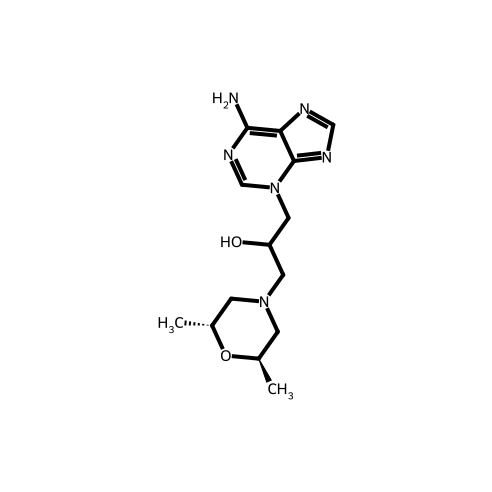 C[C@@H]1CN(CC(O)Cn2cnc(N)c3ncnc2-3)C[C@@H](C)O1